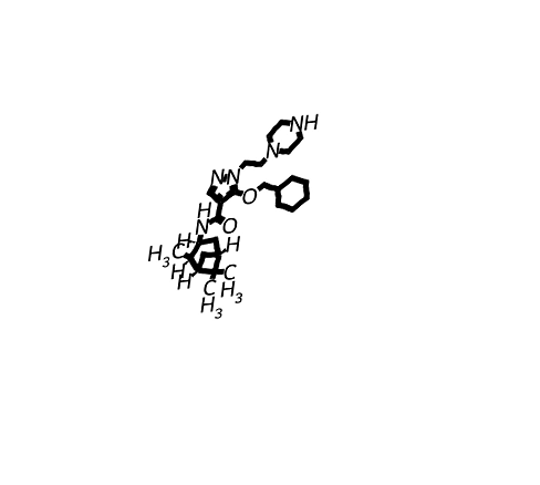 C[C@H]1[C@@H](NC(=O)c2cnn(CCN3CCNCC3)c2OCC2CCCCC2)C[C@H]2C[C@@H]1C2(C)C